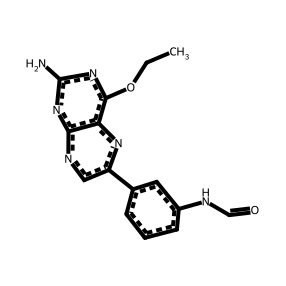 CCOc1nc(N)nc2ncc(-c3cccc(NC=O)c3)nc12